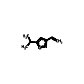 C=Cc1cc(C(C)C)on1